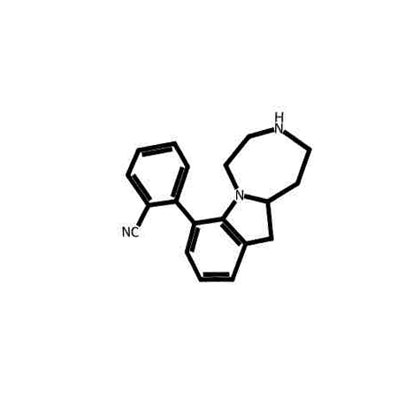 N#Cc1ccccc1-c1cccc2c1N1CCNCCC1C2